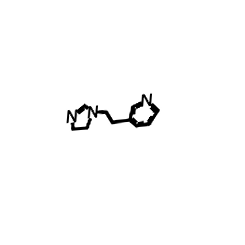 C1=NCCN1CCc1cccnc1